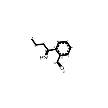 CCCC(=N)c1ccccc1C=O